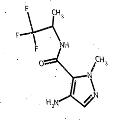 CC(NC(=O)c1c(N)cnn1C)C(F)(F)F